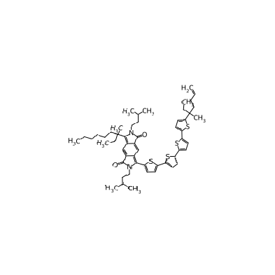 C=CCCC(C)(CC)c1ccc(-c2ccc(-c3ccc(-c4ccc(C5=c6cc7c(cc6C(=O)N5CCC(C)C)=C(C(C)(CC)CCCCCC)N(CCC(C)C)C7=O)s4)s3)s2)s1